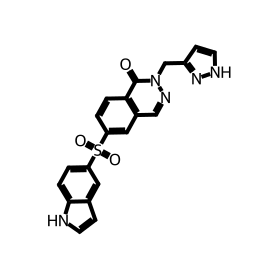 O=c1c2ccc(S(=O)(=O)c3ccc4[nH]ccc4c3)cc2cnn1Cc1cc[nH]n1